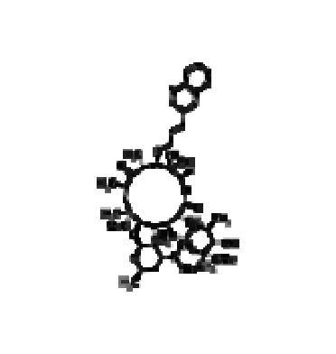 CO[C@]1(C)C[C@@H](C)C(=O)[C@H](C)[C@@H](OC/C=C/c2cnc3ccccc3c2)[C@](C)(O)[C@@H](I)OC(=O)[C@H](C)[C@@H](O[C@H]2C[C@@](C)(OC)[C@@H](O)[C@H](C)O2)[C@H](C)[C@H]1O[C@@H]1O[C@H](C)C[C@H](N(C)C(C)(C)C)[C@H]1O